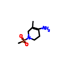 CC1=C(N)CCN(S(C)(=O)=O)C1